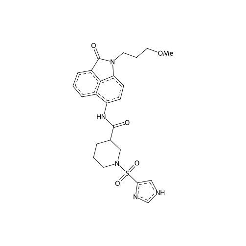 COCCCN1C(=O)c2cccc3c(NC(=O)C4CCCN(S(=O)(=O)c5c[nH]cn5)C4)ccc1c23